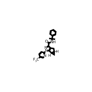 CC(C)(NC(=O)c1nn(-c2ccc(C(F)(F)F)cn2)c2c1C[C@H]1C[C@@H]21)c1ccccc1